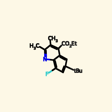 CCOC(=O)c1c(C)c(C)nc2c(F)cc(C(C)(C)C)cc12